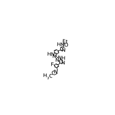 CCC(=O)Nc1cncc(-c2ccc3[nH]nc(-c4nc5c(-c6cc(F)cc(CN7CCC(C)CC7)c6)cncc5[nH]4)c3c2)c1